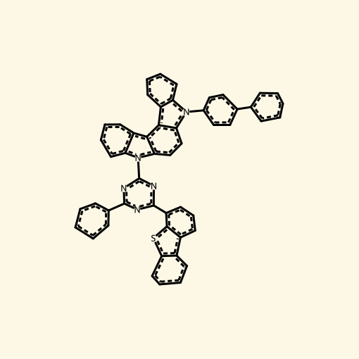 c1ccc(-c2ccc(-n3c4ccccc4c4c5c6ccccc6n(-c6nc(-c7ccccc7)nc(-c7cccc8c7sc7ccccc78)n6)c5ccc43)cc2)cc1